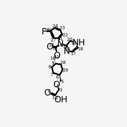 O=C(O)COC[C@H]1CC[C@H](COC(=O)N(C2=NC=CNC2)c2cccc(F)c2)CC1